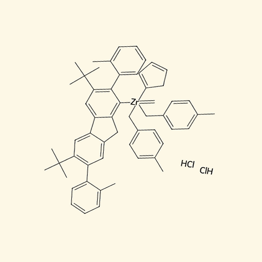 Cl.Cl.[CH2]=[Zr]([CH2]c1ccc(C)cc1)([CH2]c1ccc(C)cc1)([C]1=CC=CC1)[c]1c2c(cc(C(C)(C)C)c1-c1ccccc1C)-c1cc(C(C)(C)C)c(-c3ccccc3C)cc1C2